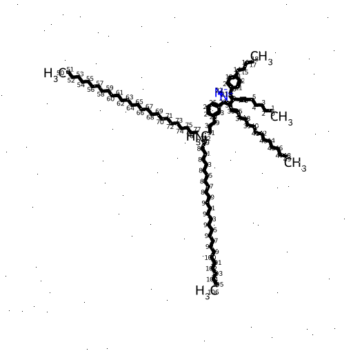 CCCCCCC#CC1=C(c2ccc(CCCCC)cc2)[N+](=[N-])C(c2cccc(CCCC)c2)=C1C=CCCCCCCCCCCCCC.CCCCCCCCCCCCCCCCCCCCCCCCCCC[CH2][Ni][CH2]CCCCCCCCCCCCCCCCCCCCCCCCCCC